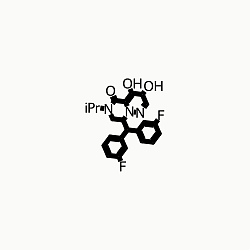 CC(C)N1CC(C(c2cccc(F)c2)c2cccc(F)c2)N2N=CC(O)C(O)=C2C1=O